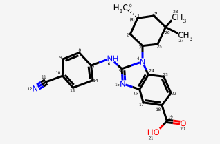 C[C@H]1CC(n2c(Nc3ccc(C#N)cc3)nc3cc(C(=O)O)ccc32)CC(C)(C)C1